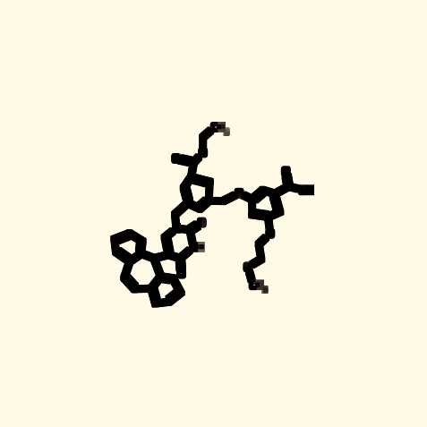 CCOC(=O)c1cc(COc2cc(OCCOC)cc(C(=O)O)c2)cc(Cn2cc(C3c4ccccc4C=Cc4ccccc43)c(=O)[nH]c2=O)c1